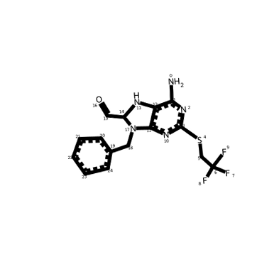 Nc1nc(SCC(F)(F)F)nc2c1NC(C=O)N2Cc1ccccc1